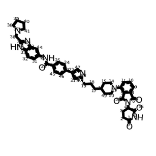 O=C1CCC(N2C(=O)c3cccc(N4CCC(CCCn5cc(-c6ccc(C(=O)Nc7ccc8[nH]c(CN9CCCC9)nc8c7)cc6)cn5)CC4)c3C2=O)C(=O)N1